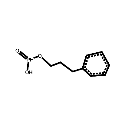 O=[PH](O)OCCCc1ccccc1